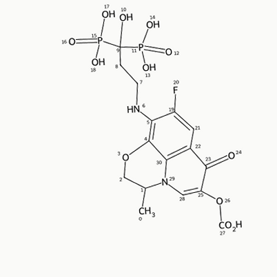 CC1COc2c(NCCC(O)(P(=O)(O)O)P(=O)(O)O)c(F)cc3c(=O)c(OC(=O)O)cn1c23